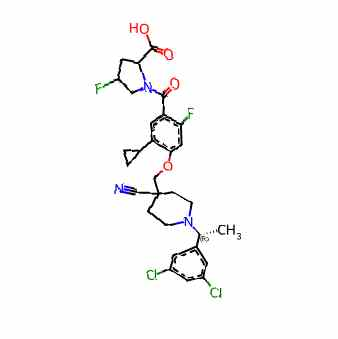 C[C@H](c1cc(Cl)cc(Cl)c1)N1CCC(C#N)(COc2cc(F)c(C(=O)N3CC(F)CC3C(=O)O)cc2C2CC2)CC1